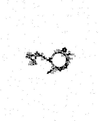 CCCCNC(=O)N[C@H]1CSCc2cc(CSCCNC(=O)CCP(=O)(O)CN3CCN(CP(=O)(O)CO)CCN(CP(=O)(O)CO)CC3)cc(c2)CSC[C@@H](C)NC(=O)[C@H](Cc2ccccc2)NC(=O)[C@H](CCC(N)=O)NC(=O)[C@H]([C@@H](C)O)NC(=O)[C@@H]2CCCN2C(=O)[C@@H]2CCCN2C1=O